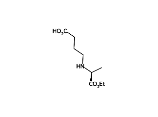 CCOC(=O)[C@H](C)NCCCC(=O)O